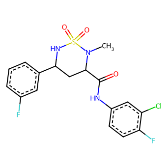 CN1C(C(=O)Nc2ccc(F)c(Cl)c2)CC(c2cccc(F)c2)NS1(=O)=O